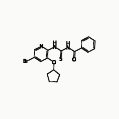 O=C(NC(=S)Nc1ncc(Br)cc1OC1CCCC1)c1ccccc1